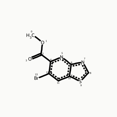 COC(=O)c1nc2ncsc2cc1Br